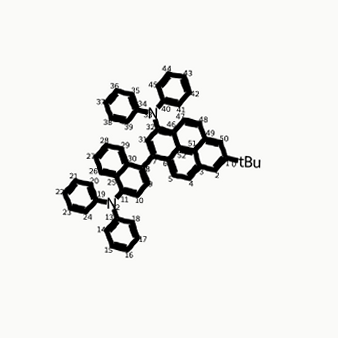 CC(C)(C)c1cc2ccc3c(-c4ccc(N(c5ccccc5)c5ccccc5)c5ccccc45)cc(N(c4ccccc4)c4ccccc4)c4ccc(c1)c2c34